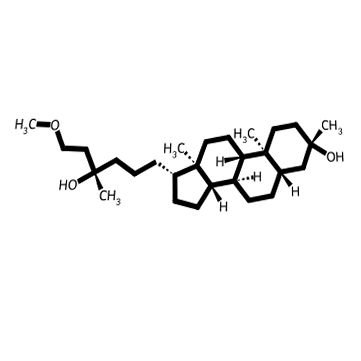 COCC[C@@](C)(O)CCC[C@H]1CC[C@H]2[C@@H]3CC[C@H]4C[C@@](C)(O)CC[C@]4(C)[C@H]3CC[C@]12C